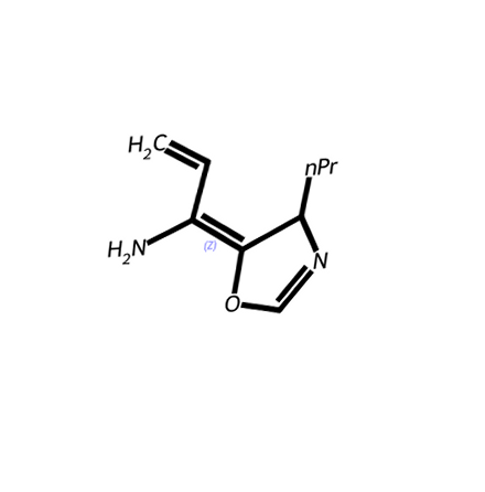 C=C/C(N)=C1/OC=NC1CCC